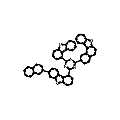 c1ccc2cc(-c3ccc4c(c3)oc3cccc(-c5nc(-c6ccc7ccc8oc9ccccc9c8c7c6)nc(-c6cccc7oc8ccccc8c67)n5)c34)ccc2c1